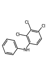 Clc1ccc(Nc2ccccc2)c(Cl)c1Cl